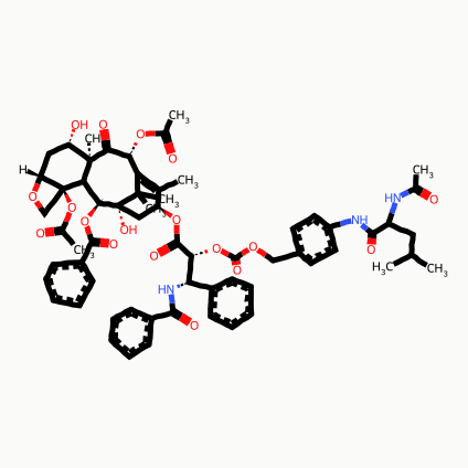 CC(=O)NC(CC(C)C)C(=O)Nc1ccc(COC(=O)O[C@@H](C(=O)O[C@H]2C[C@@]3(O)[C@@H](OC(=O)c4ccccc4)C4[C@](C)(C(=O)[C@H](OC(C)=O)C(=C2C)C3(C)C)[C@@H](O)C[C@H]2OC[C@@]42OC(C)=O)[C@@H](NC(=O)c2ccccc2)c2ccccc2)cc1